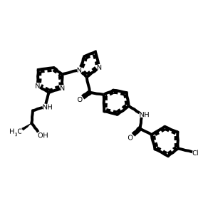 C[C@H](O)CNc1nccc(-n2ccnc2C(=O)c2ccc(NC(=O)c3ccc(Cl)cc3)cc2)n1